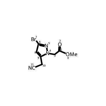 COC(=O)Cn1nc(Br)cc1CC#N